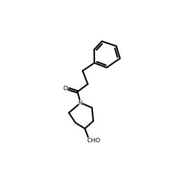 O=CC1CCN(C(=O)CCc2ccccc2)CC1